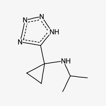 CC(C)NC1(c2nnn[nH]2)CC1